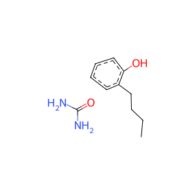 CCCCc1ccccc1O.NC(N)=O